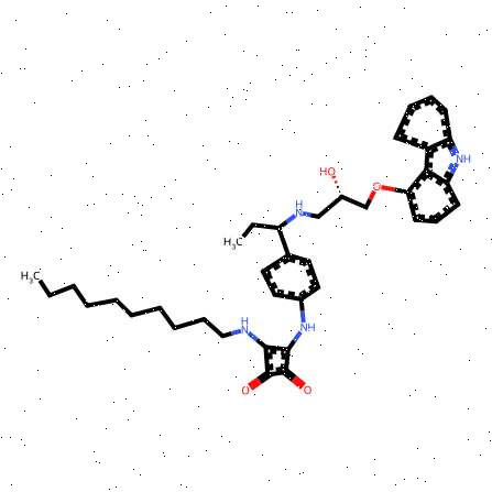 CCCCCCCCCCNc1c(Nc2ccc(C(CC)NC[C@H](O)COc3cccc4[nH]c5ccccc5c34)cc2)c(=O)c1=O